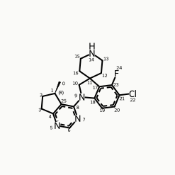 C[C@@H]1CCc2ncnc(N3CC4(CCNCC4)c4c3ccc(Cl)c4F)c21